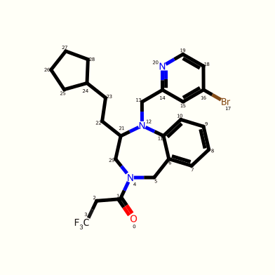 O=C(CC(F)(F)F)N1Cc2ccccc2N(Cc2cc(Br)ccn2)C(CCC2CCCC2)C1